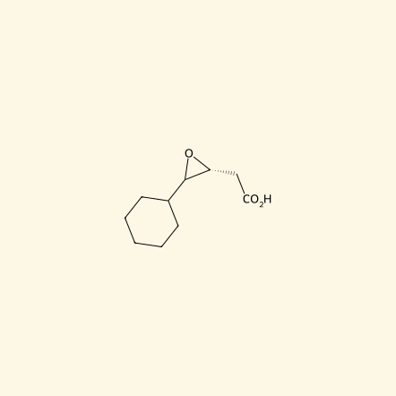 O=C(O)C[C@H]1OC1C1CCCCC1